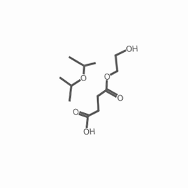 CC(C)OC(C)C.O=C(O)CCC(=O)OCCO